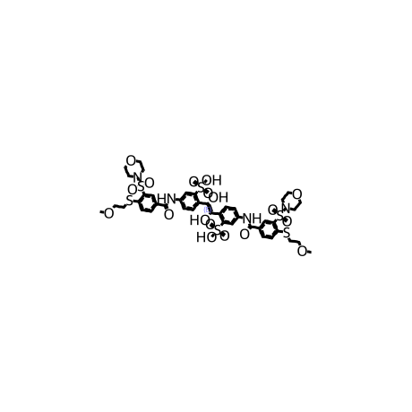 COCCSc1ccc(C(=O)Nc2ccc(/C(O)=C(\O)c3ccc(NC(=O)c4ccc(SCCOC)c(S(=O)(=O)N5CCOCC5)c4)cc3S(=O)(=O)O)c(S(=O)(=O)O)c2)cc1S(=O)(=O)N1CCOCC1